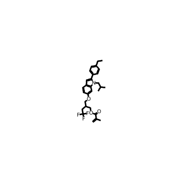 C=C(C)C(=O)OCC(COc1ccc2cc(-c3ccc(CC)cc3)n(CC(C)C)c2c1)CC(F)(F)F